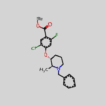 C[C@H]1[C@H](Oc2cc(F)c(C(=O)OC(C)(C)C)cc2Cl)CCCN1Cc1ccccc1